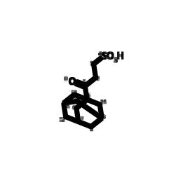 O=C(CCS(=O)(=O)O)C12CC3CC(CC(C3)C1)C2